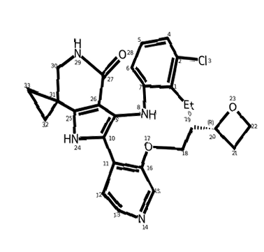 CCc1c(Cl)cccc1Nc1c(-c2ccncc2OCC[C@H]2CCO2)[nH]c2c1C(=O)NCC21CC1